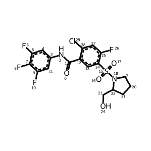 O=C(Nc1cc(F)c(F)c(F)c1)c1cc(S(=O)(=O)N2CCCC2CO)c(F)cc1Cl